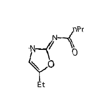 CCCC(=O)N=C1[N]C=C(CC)O1